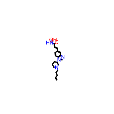 C=CCCCN1CCCC(n2cnc3cc(/C=C/C(=O)NO)ccc32)C1